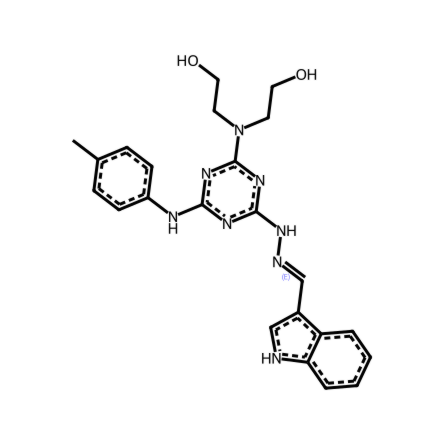 Cc1ccc(Nc2nc(N/N=C/c3c[nH]c4ccccc34)nc(N(CCO)CCO)n2)cc1